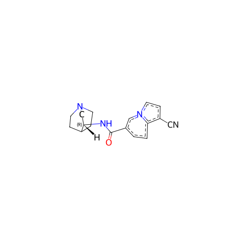 N#Cc1ccn2cc(C(=O)N[C@H]3CN4CCC3CC4)ccc12